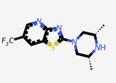 C[C@@H]1CN(c2nc3ncc(C(F)(F)F)cc3s2)C[C@H](C)N1